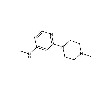 CNc1ccnc(N2CCN(C)CC2)c1